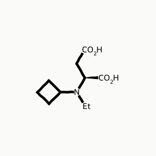 CCN(C1CCC1)[C@@H](CC(=O)O)C(=O)O